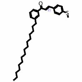 CCCCCCCCCCCCCCCCc1cccc(C(=O)/C=C/c2ccc(SC)cc2)c1